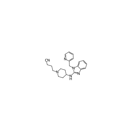 N#CCCCN1CCC(Nc2nc3ccccc3n2Cc2ccccn2)CC1